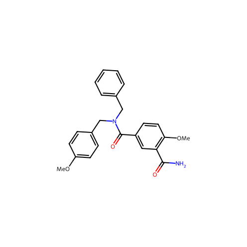 COc1ccc(CN(Cc2ccccc2)C(=O)c2ccc(OC)c(C(N)=O)c2)cc1